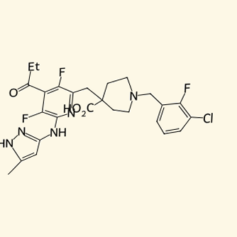 CCC(=O)c1c(F)c(CC2(C(=O)O)CCN(Cc3cccc(Cl)c3F)CC2)nc(Nc2cc(C)[nH]n2)c1F